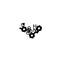 COc1cc(S(=O)(=O)Oc2ccccc2-c2cc3ccccc3[nH]2)ccc1C